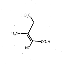 N#CC(C(=O)O)=C(N)CC(=O)O